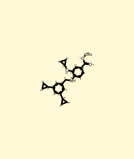 CC(C)(C)OC(=O)c1ccc(NCc2cc(C3CC3)cc(C3CC3)c2)c(OC2CC2)c1